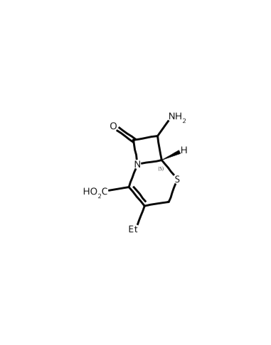 CCC1=C(C(=O)O)N2C(=O)C(N)[C@@H]2SC1